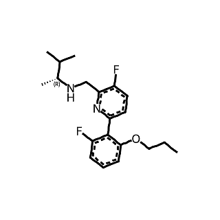 CCCOc1cccc(F)c1-c1ccc(F)c(CN[C@H](C)C(C)C)n1